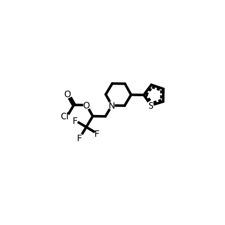 O=C(Cl)OC(CN1CCCC(c2cccs2)C1)C(F)(F)F